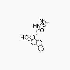 Cc1cnc(NC(=O)CC[C@@H]2CC(O)[C@@]3(C)CCC4C5=CCCC=C5CCC4C23)s1